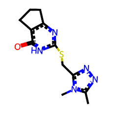 Cc1nnc(CSc2nc3c(c(=O)[nH]2)CCC3)n1C